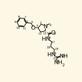 CN1C[C@H](OCc2ccccc2)C[C@H]1C(=O)NCCCNC(=N)N